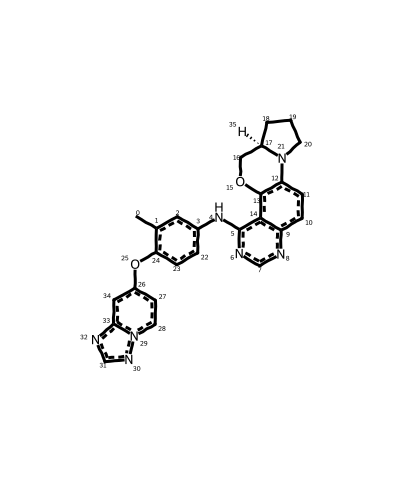 Cc1cc(Nc2ncnc3ccc4c(c23)OC[C@H]2CCCN42)ccc1Oc1ccn2ncnc2c1